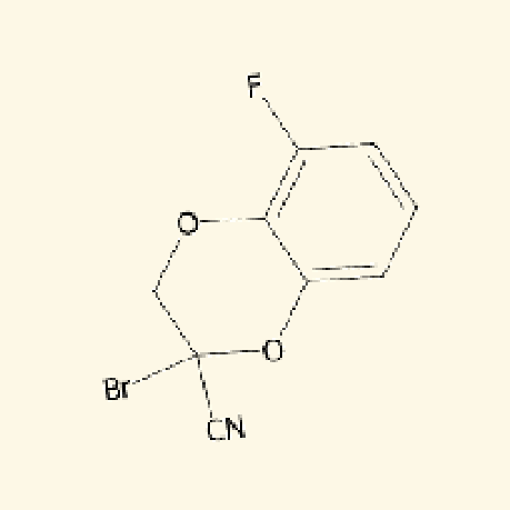 N#CC1(Br)COc2c(F)cccc2O1